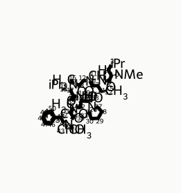 CN[C@@H](CC(C)C)C(=O)N[C@H](C(=O)N(C)CC(=O)N(C)[C@@H](CC(C)C)C(=O)N[C@H](C(=O)N1CCCCC1)C(=O)N(C)[C@@H](C)C(=O)N(C)[C@H](C=O)Cc1ccccc1)[C@@H](C)O